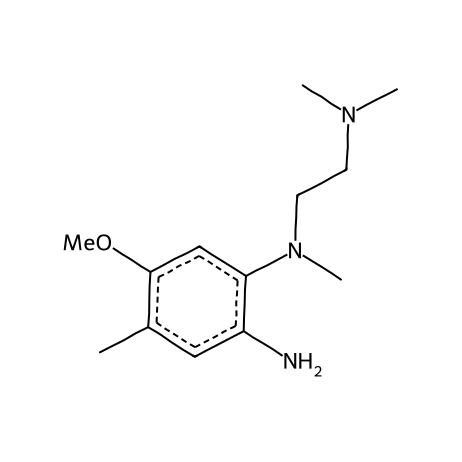 COc1cc(N(C)CCN(C)C)c(N)cc1C